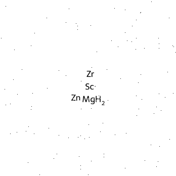 [MgH2].[Sc].[Zn].[Zr]